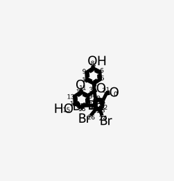 O=C1OC2(c3ccc(O)cc3Oc3cc(O)cc(Br)c32)c2c1[c]c(Br)c(Br)c2Br